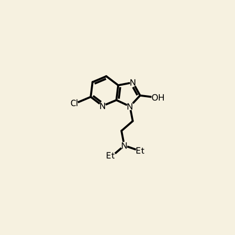 CCN(CC)CCn1c(O)nc2ccc(Cl)nc21